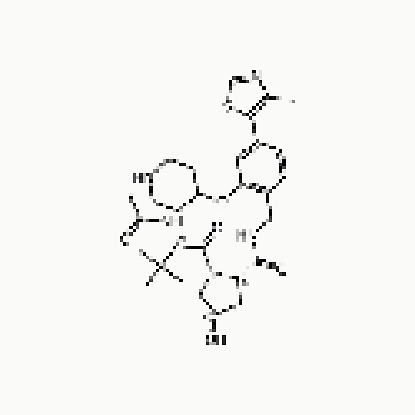 CC(=O)N[C@H](C(=O)N1C[C@H](O)C[C@H]1C(=O)NCc1ccc(-c2scnc2C)cc1OC1CCNCC1)C(C)(C)C